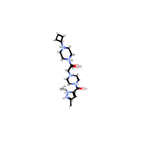 Cc1cc(C(=O)N2CCN(CC(=O)N3CCN(C4CCC4)CC3)CC2)n(C(C)(C)C)n1